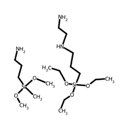 CCO[Si](CCCNCCN)(OCC)OCC.CO[Si](C)(CCCN)OC